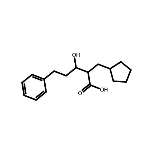 O=C(O)C(CC1CCCC1)C(O)CCc1ccccc1